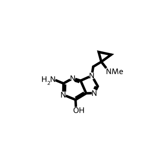 [CH2]NC1(Cn2cnc3c(O)nc(N)nc32)CC1